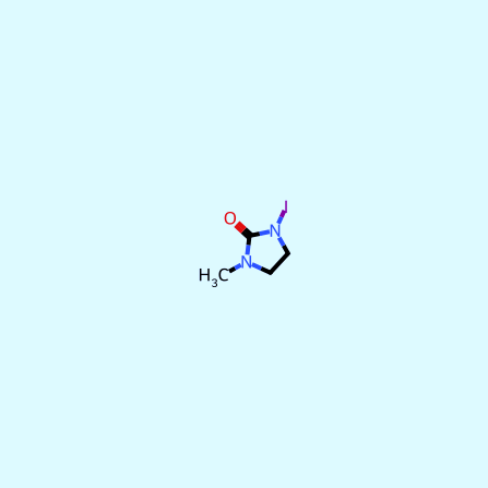 CN1CCN(I)C1=O